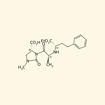 CCOC(=O)[C@H](CCc1ccccc1)N[C@@H](C)C(=O)N1C(=O)N(C)C[C@@H]1C(=O)O